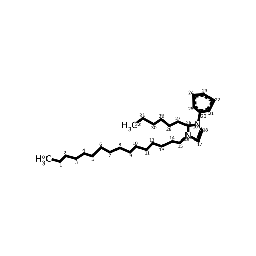 CCCCCCCCCCCCCCCCN1C=CN(c2ccccc2)C1CCCCCC